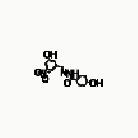 O=C(NN=Cc1cc(O)cc([N+](=O)[O-])c1)c1ccc(O)cc1